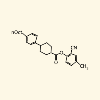 CCCCCCCCc1ccc(C2CCC(C(=O)Oc3ccc(C)cc3C#N)CC2)cc1